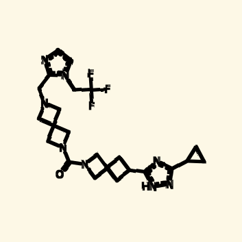 O=C(N1CC2(CC(c3nc(C4CC4)n[nH]3)C2)C1)N1CC2(CN(Cc3nccn3CC(F)(F)F)C2)C1